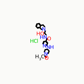 CC(=O)N1CCC(Nc2cc(C(=O)NC[C@H](O)CN3CCc4ccccc4C3)ccn2)CC1.Cl